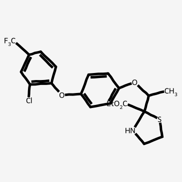 CCOC(=O)C1(C(C)Oc2ccc(Oc3ccc(C(F)(F)F)cc3Cl)cc2)NCCS1